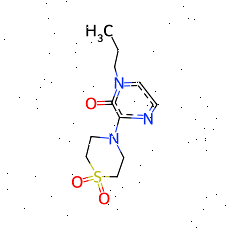 CCCn1ccnc(N2CCS(=O)(=O)CC2)c1=O